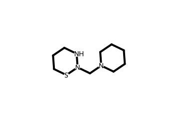 C1CCN(CN2NCCCS2)CC1